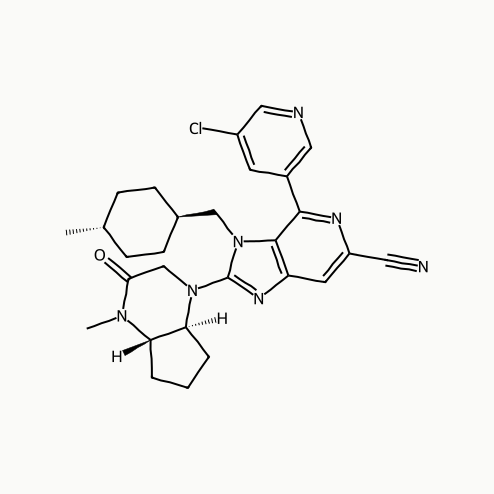 CN1C(=O)CN(c2nc3cc(C#N)nc(-c4cncc(Cl)c4)c3n2C[C@H]2CC[C@H](C)CC2)[C@H]2CCC[C@@H]21